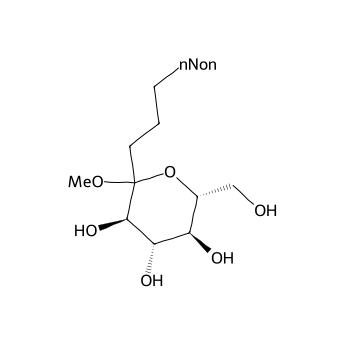 CCCCCCCCCCCCC1(OC)O[C@H](CO)[C@@H](O)[C@H](O)[C@H]1O